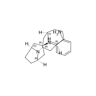 Nc1ccccc1N[C@H]1C[C@H]2CC[C@@H](C1)N2[C@H]1C[C@@H]2CCC[C@@H](C2)C1